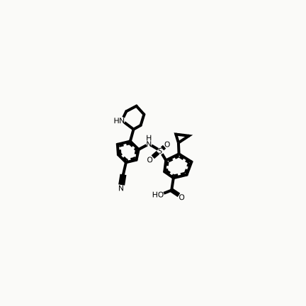 N#Cc1ccc(C2CCCCN2)c(NS(=O)(=O)c2cc(C(=O)O)ccc2C2CC2)c1